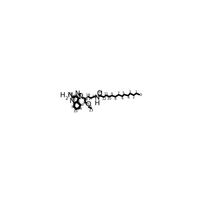 CCCCCCCCCCCCCC(=O)NCCC[C@@H](COCC)n1cnc2c(N)nc3ccccc3c21